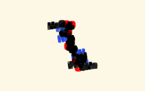 COC(=O)NC(C(=O)N1C(c2ncc(-c3ccc4c(c3)COc3cc5c(ccc6nc(C7CC[C@H](C)N7C(=O)[C@@H](NC(=O)OC)C7CCOCC7)[nH]c65)cc3-4)[nH]2)C[C@@H]2CCC[C@@H]21)C(C)C